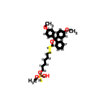 COc1ccc(C(OCSSCCCCCCOP(O)(=S)OC)(c2ccccc2)c2ccc(OC)cc2)cc1